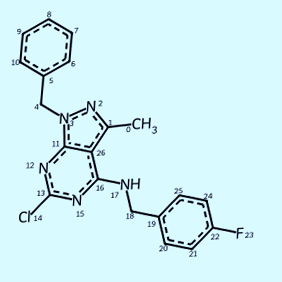 Cc1nn(Cc2ccccc2)c2nc(Cl)nc(NCc3ccc(F)cc3)c12